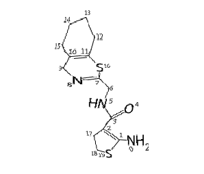 NC1=C(C(=O)NCC2=NCC3=C(CCCC3)S2)CCS1